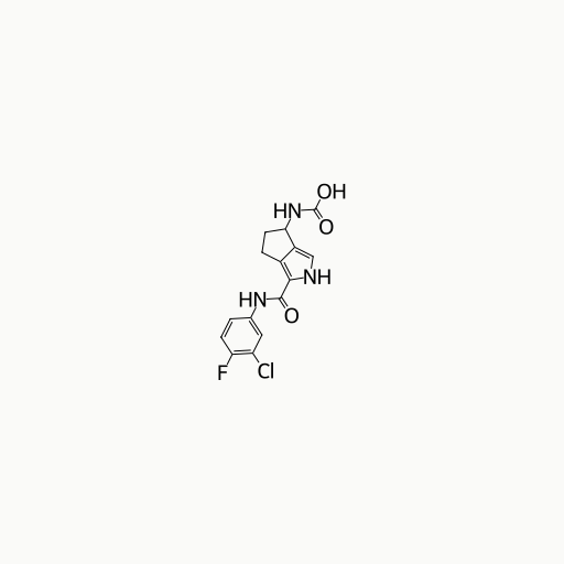 O=C(O)NC1CCc2c1c[nH]c2C(=O)Nc1ccc(F)c(Cl)c1